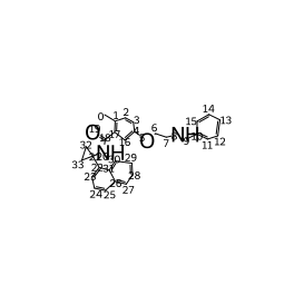 Cc1ccc(OCCNCc2ccccc2)cc1C(=O)NC1(c2cccc3ccccc23)CC1